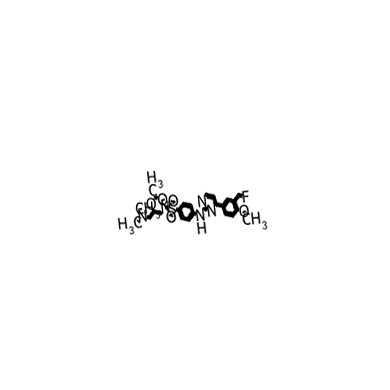 COc1ccc(-c2ccnc(Nc3ccc(S(=O)(=O)N(CCCN(C)C)OC(C)=O)cc3)n2)cc1CF